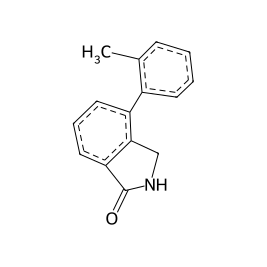 Cc1ccccc1-c1cccc2c1CNC2=O